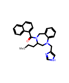 CSCCC1CN(Cc2c[nH]cn2)c2ccccc2CN1C(=O)c1cccc2ccccc12